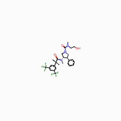 CN(CCO)C(=O)N1C[C@@H](N(C)C(=O)C(C)(C)c2cc(C(F)(F)F)cc(C(F)(F)F)c2)[C@H](c2ccccc2)C1